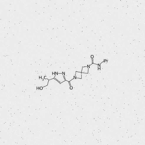 CC(C)NC(=O)N1CC2(C1)CN(C(=O)c1cc(C(C)CO)[nH]n1)C2